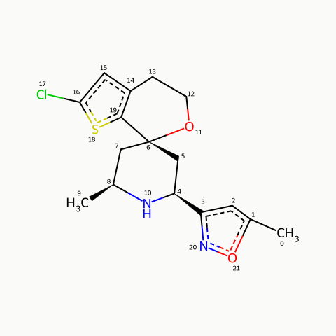 Cc1cc([C@@H]2C[C@]3(C[C@H](C)N2)OCCc2cc(Cl)sc23)no1